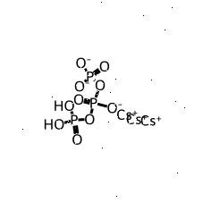 O=P([O-])([O-])OP(=O)([O-])OP(=O)(O)O.[Cs+].[Cs+].[Cs+]